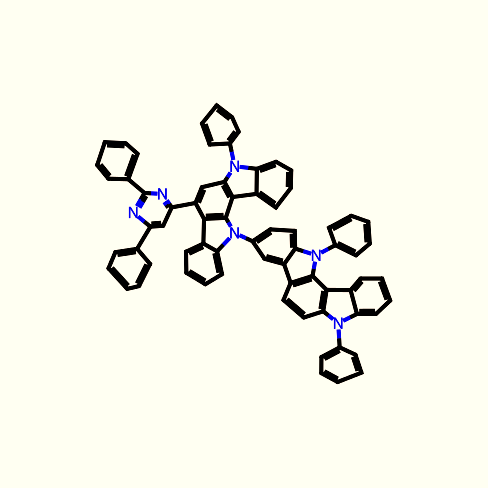 c1ccc(-c2cc(-c3cc4c(c5ccccc5n4-c4ccccc4)c4c3c3ccccc3n4-c3ccc4c(c3)c3ccc5c(c6ccccc6n5-c5ccccc5)c3n4-c3ccccc3)nc(-c3ccccc3)n2)cc1